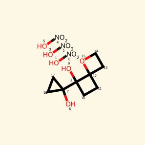 O=[N+]([O-])O.O=[N+]([O-])O.O=[N+]([O-])O.OC1(C2(O)CCC23CCO3)CC1